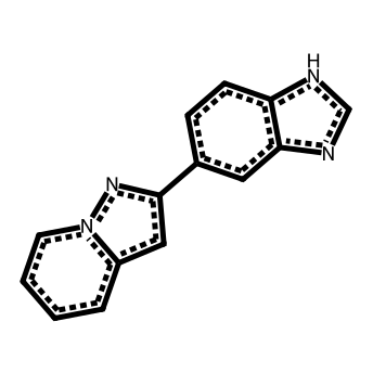 c1ccn2nc(-c3ccc4[nH]cnc4c3)cc2c1